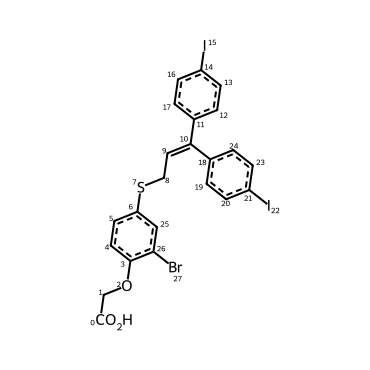 O=C(O)COc1ccc(SCC=C(c2ccc(I)cc2)c2ccc(I)cc2)cc1Br